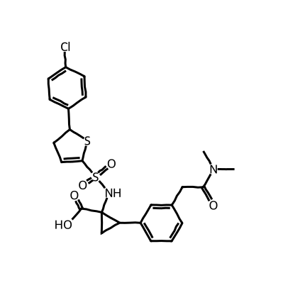 CN(C)C(=O)Cc1cccc(C2CC2(NS(=O)(=O)C2=CCC(c3ccc(Cl)cc3)S2)C(=O)O)c1